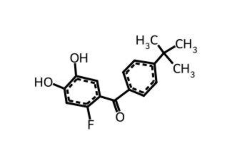 CC(C)(C)c1ccc(C(=O)c2cc(O)c(O)cc2F)cc1